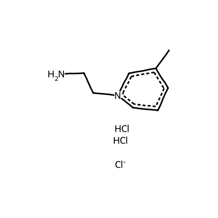 Cc1ccc[n+](CCN)c1.Cl.Cl.[Cl-]